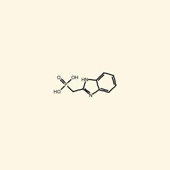 O=P(O)(O)Cc1nc2ccccc2[nH]1